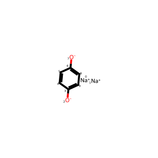 [Na+].[Na+].[O-]c1ccc([O-])cc1